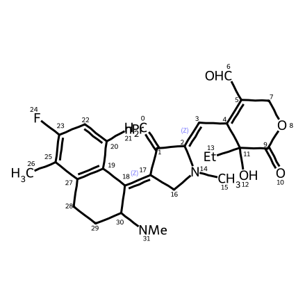 C=C1/C(=C/C2=C(C=O)COC(=O)C2(O)CC)N(C)C/C1=C1/c2c(CCC)cc(F)c(C)c2CCC1NC